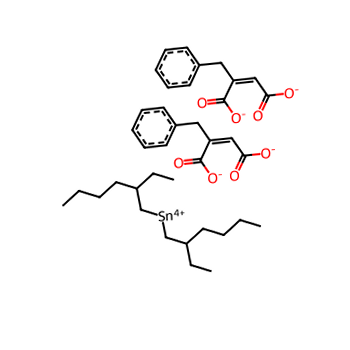 CCCCC(CC)[CH2][Sn+4][CH2]C(CC)CCCC.O=C([O-])/C=C(/Cc1ccccc1)C(=O)[O-].O=C([O-])/C=C(/Cc1ccccc1)C(=O)[O-]